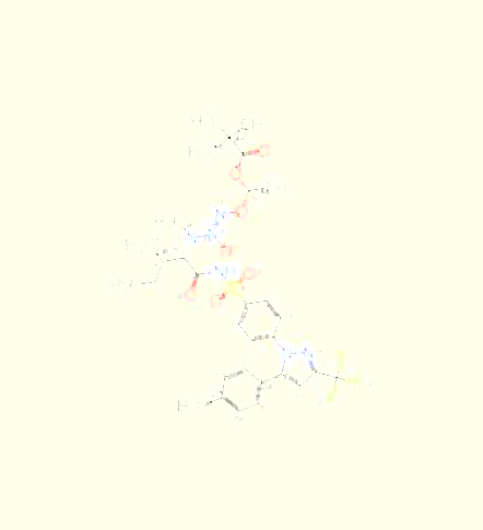 CC[C@@H](C)[C@@H](C(=O)NS(=O)(=O)c1ccc(-n2nc(C(F)(F)F)cc2-c2ccc(C)cc2)cc1)N(C)/[N+]([O-])=N/OC(C)OC(=O)C(C)(C)C